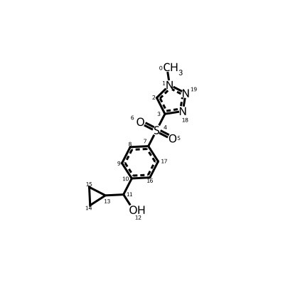 Cn1cc(S(=O)(=O)c2ccc(C(O)C3CC3)cc2)nn1